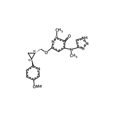 COc1ccc([C@H]2C[C@@H]2COc2cc(N(C)c3c[nH]nn3)c(=O)n(C)n2)nc1